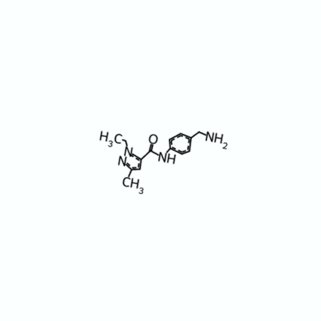 CCn1nc(C)cc1C(=O)Nc1ccc(CN)cc1